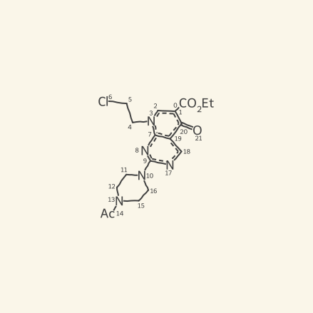 CCOC(=O)c1cn(CCCl)c2nc(N3CCN(C(C)=O)CC3)ncc2c1=O